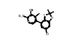 Cc1c(-c2cc(Cl)cc3c2OC(C)(C)O3)cnc(N)c1C#N